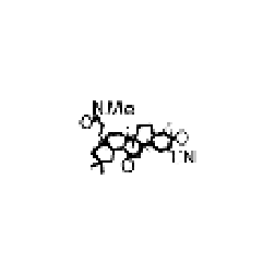 CNC(=O)CC[C@]12CCC(C)(C)CC1C1C(=O)C=C3[C@@]4(C)C=C(C#N)C(=O)[C@@H](C)C4CC[C@@]3(C)[C@]1(C)CC2